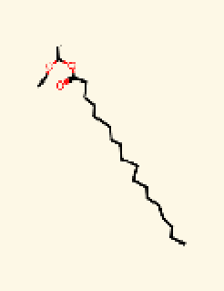 [CH2]C(OCC)OC(=O)CCCCCCCCCCCCCCCCC